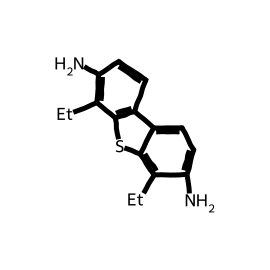 CCc1c(N)ccc2c1sc1c(CC)c(N)ccc12